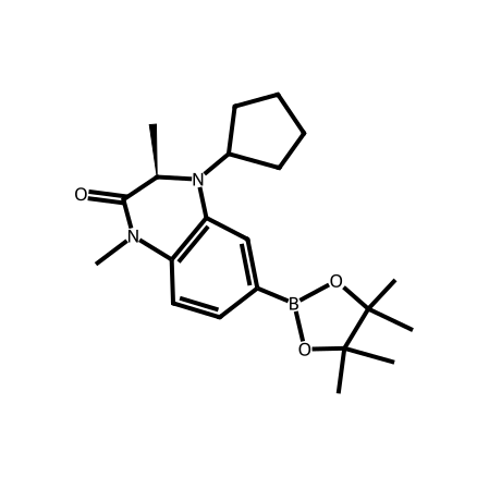 C[C@@H]1C(=O)N(C)c2ccc(B3OC(C)(C)C(C)(C)O3)cc2N1C1CCCC1